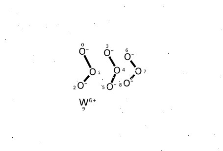 [O-]O[O-].[O-]O[O-].[O-]O[O-].[W+6]